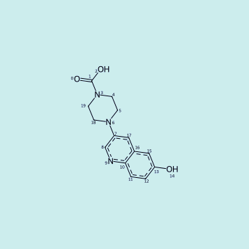 O=C(O)N1CCN(c2cnc3ccc(O)cc3c2)CC1